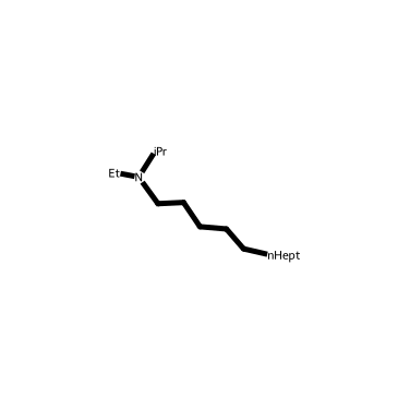 CCCCCCCCCCCCN(CC)C(C)C